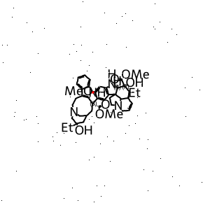 CCC1(O)CC2CN(CCc3c([nH]c4ccccc34)[C@@](C(=O)OC)(c3cc4c(cc3OC)N[C@@H]3C45CCN4CC=CC(CC)(C[C@]3(O)C(=O)OC)C45)C2)C1